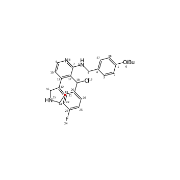 CC(C)COc1ccc(CNc2nccc(C3=CCNC3)c2C(Cl)c2ccc(F)cc2)cc1